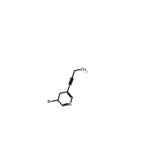 CCC#CC1=CN=CC(Br)C1